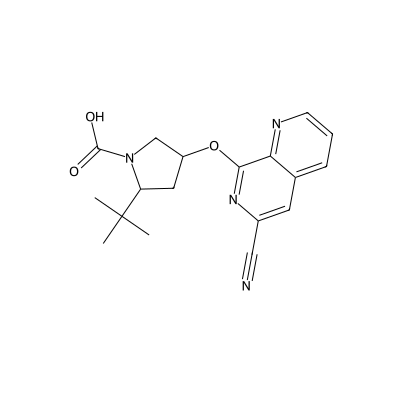 CC(C)(C)C1CC(Oc2nc(C#N)cc3cccnc23)CN1C(=O)O